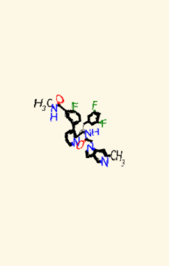 CNC(=O)c1cc(-c2cccnc2[C@H](Cc2cc(F)cc(F)c2)NC(=O)Cn2ccc3cnc(C)cc32)ccc1F